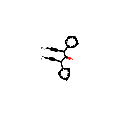 CC#CC(C(=O)C(C#CC)c1ccccc1)c1ccccc1